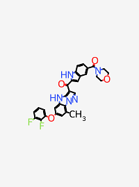 Cc1cc(Oc2cccc(F)c2F)cc2[nH]c3c(C(=O)c4cc5cc(C(=O)N6CCOCC6)ccc5[nH]4)cnn3c12